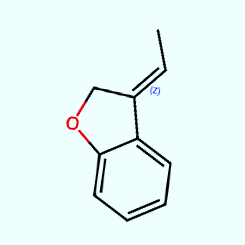 C/C=C1\COc2ccccc21